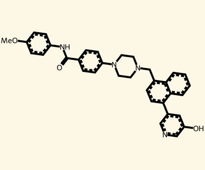 COc1ccc(NC(=O)c2ccc(N3CCN(Cc4ccc(-c5cncc(O)c5)c5ccccc45)CC3)cc2)cc1